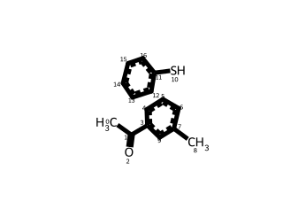 CC(=O)c1cccc(C)c1.Sc1ccccc1